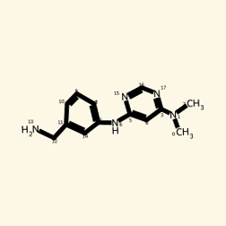 CN(C)c1cc(Nc2cccc(CN)c2)ncn1